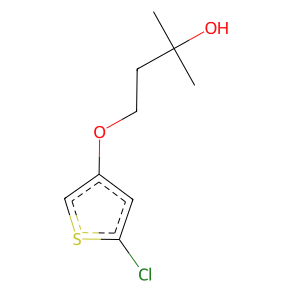 CC(C)(O)CCOc1csc(Cl)c1